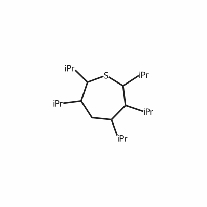 CC(C)C1CC(C(C)C)C(C(C)C)C(C(C)C)SC1C(C)C